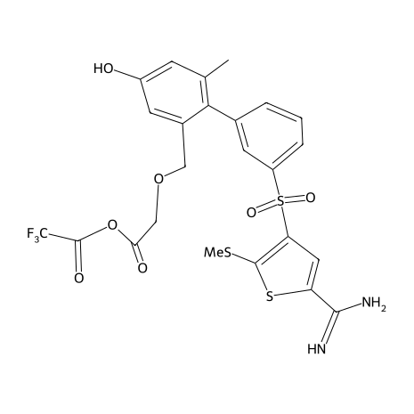 CSc1sc(C(=N)N)cc1S(=O)(=O)c1cccc(-c2c(C)cc(O)cc2COCC(=O)OC(=O)C(F)(F)F)c1